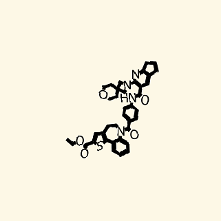 CCOC(=O)c1cc2c(s1)-c1ccccc1N(C(=O)c1ccc(NC(=O)c3cc4c(nc3N3CC5(CCOCC5)C3)CCC4)cc1)CC2